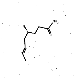 C/C=C/C[C@@H](C)CCC(N)=O